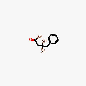 O=C(S)CC(S)(S)Cc1ccccc1